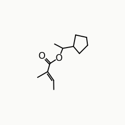 CC=C(C)C(=O)OC(C)C1CCCC1